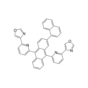 c1cc(-c2cocn2)nc(-c2c3ccccc3c(-c3cccc(-c4cocn4)n3)c3cc(-c4cccc5ccccc45)ccc23)c1